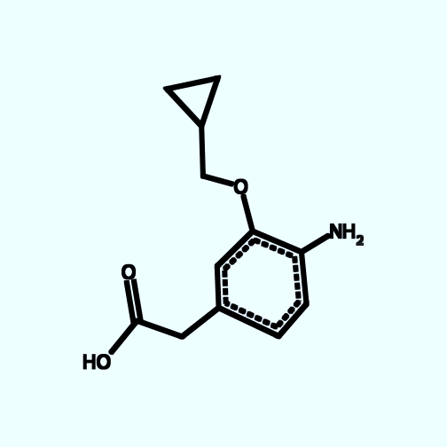 Nc1ccc(CC(=O)O)cc1OCC1CC1